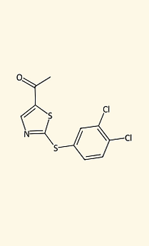 CC(=O)c1cnc(Sc2ccc(Cl)c(Cl)c2)s1